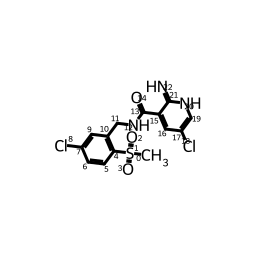 CS(=O)(=O)c1ccc(Cl)cc1CNC(=O)c1cc(Cl)c[nH]c1=N